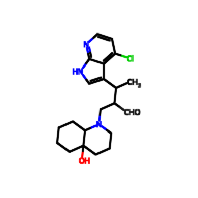 CC(c1c[nH]c2nccc(Cl)c12)C(C=O)CN1CCCC2(O)CCCCC12